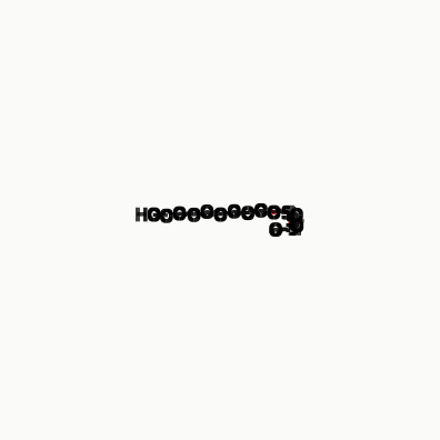 COCCC[Si](C)(C)O[Si](C)(C)O[Si](C)(C)CCCOCCOCCOCCOCCOCCOCCOCCOCCOCCO